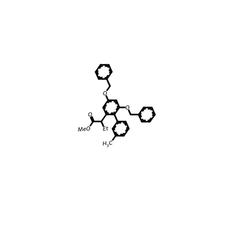 CCC(C(=O)OC)c1cc(OCc2ccccc2)cc(OCc2ccccc2)c1-c1cccc(C)c1